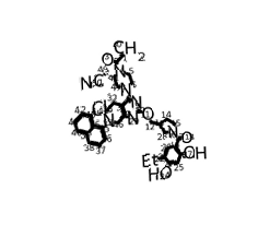 C=CC(=O)N1CCN(c2nc(OCC3CCN(C(=O)c4cc(CC)c(O)cc4O)C3)nc3c2CCN(c2cccc4cccc(Cl)c24)C3)C[C@@H]1CC#N